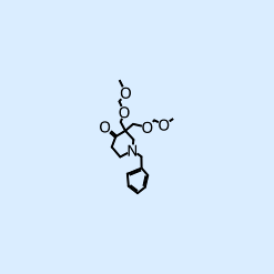 COCOCC1(COCOC)CN(Cc2ccccc2)CCC1=O